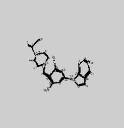 CC(C)N1CCN(Cc2c(F)cc(-n3ccc4cn[c]nc43)cc2F)CC1